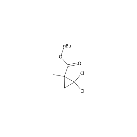 CCCCOC(=O)C1(C)CC1(Cl)Cl